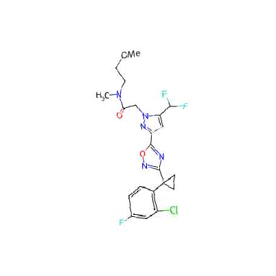 COCCN(C)C(=O)Cn1nc(-c2nc(C3(c4ccc(F)cc4Cl)CC3)no2)cc1C(F)F